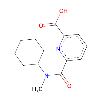 CN(C(=O)c1cccc(C(=O)O)n1)C1CCCCC1